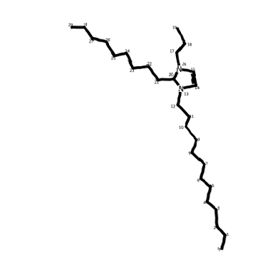 CCCCCCCCCCCCCN1C=CN(CCC)C1CCCCCCCCC